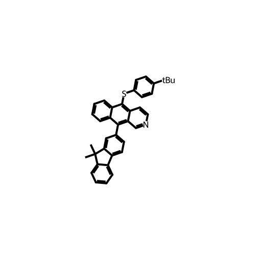 CC(C)(C)c1ccc(Sc2c3ccccc3c(-c3ccc4c(c3)C(C)(C)c3ccccc3-4)c3cnccc23)cc1